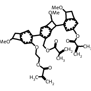 C=C(C)C(=O)OCCOc1cc2c(cc1-c1cc3c(cc1COC(=O)C(=C)C)C(c1cc(OC(=O)C(=C)C)cc4c1C(OC)C4)C3OC)CC2OC